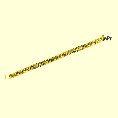 CCCC(=S)SSSSSSSSSSSSSSSSSSSSSSSSSSSSSSSSSSSSSSSSSSSSSSSSSSSSSSSSSSSSSSSSSSSSSSS